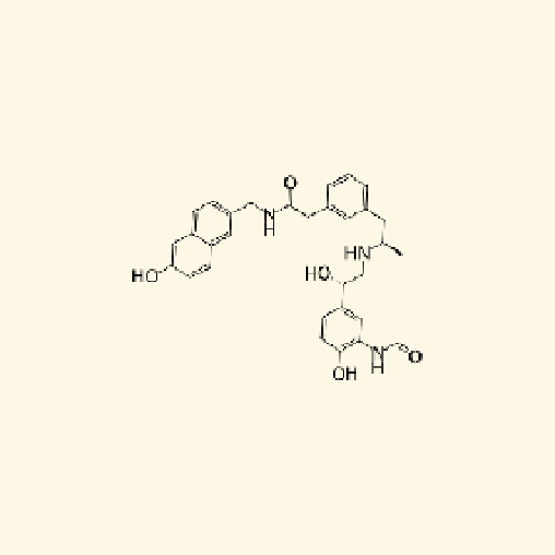 C[C@H](Cc1cccc(CC(=O)NCc2ccc3cc(O)ccc3c2)c1)NC[C@@H](O)c1ccc(O)c(NC=O)c1